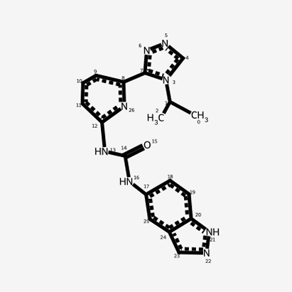 CC(C)n1cnnc1-c1cccc(NC(=O)Nc2ccc3[nH]ncc3c2)n1